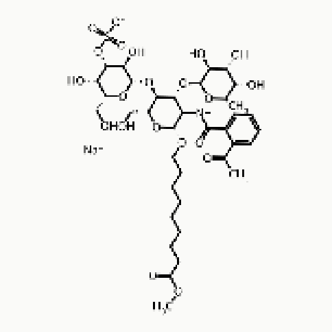 COC(=O)CCCCCCCCO[C@@H]1O[C@H](CO)[C@@H](O[C@@H]2O[C@H](CO)[C@H](O)[C@H](OS(=O)(=O)[O-])[C@H]2O)[C@H](O[C@@H]2O[C@@H](C)[C@@H](O)[C@@H](O)[C@@H]2O)[C@H]1NC(=O)c1ccccc1C(C)=O.[Na+]